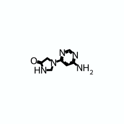 Nc1cc(N2CNC(=O)C2)ncn1